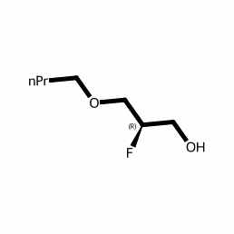 CCCCOC[C@H](F)CO